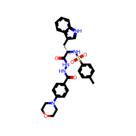 Cc1ccc(S(=O)(=O)N[C@@H](Cc2c[nH]c3ccccc23)C(=O)NNC(=O)c2ccc(N3CCOCC3)cc2)cc1